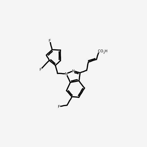 O=C(O)C=CCc1nn(Cc2ccc(F)cc2F)c2cc(CF)ccc12